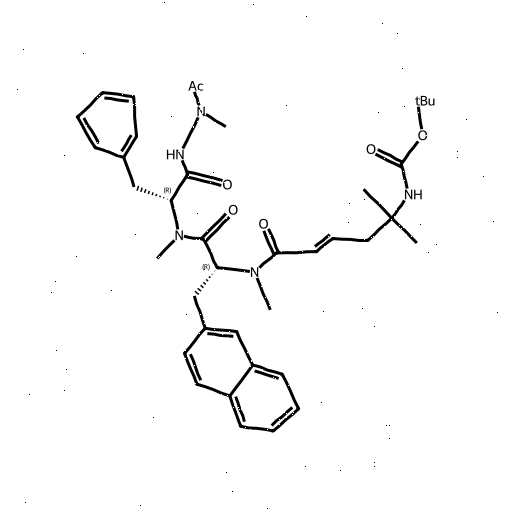 CC(=O)N(C)NC(=O)[C@@H](Cc1ccccc1)N(C)C(=O)[C@@H](Cc1ccc2ccccc2c1)N(C)C(=O)C=CCC(C)(C)NC(=O)OC(C)(C)C